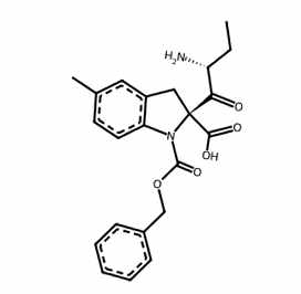 CC[C@@H](N)C(=O)[C@]1(C(=O)O)Cc2cc(C)ccc2N1C(=O)OCc1ccccc1